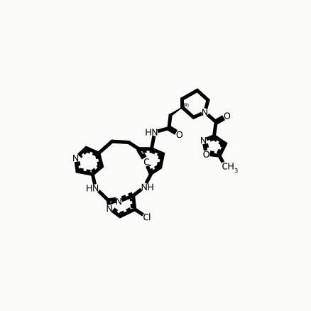 Cc1cc(C(=O)N2CCC[C@H](CC(=O)Nc3ccc4cc3CCc3cncc(c3)Nc3ncc(Cl)c(n3)N4)C2)no1